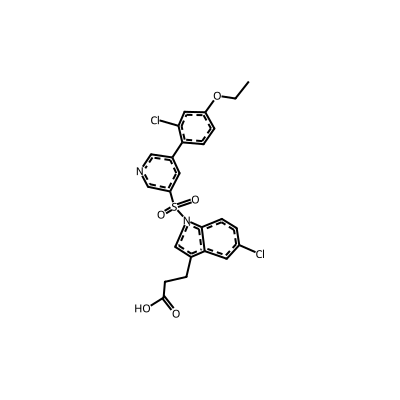 CCOc1ccc(-c2cncc(S(=O)(=O)n3cc(CCC(=O)O)c4cc(Cl)ccc43)c2)c(Cl)c1